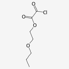 CCCOCCOC(=O)C(=O)Cl